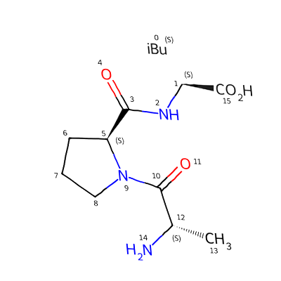 CC[C@H](C)[C@H](NC(=O)[C@@H]1CCCN1C(=O)[C@H](C)N)C(=O)O